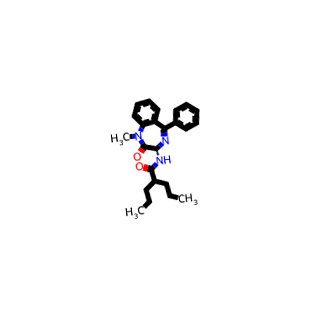 CCCC(CCC)C(=O)N[C@H]1N=C(c2ccccc2)c2ccccc2N(C)C1=O